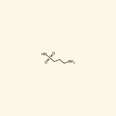 [NH]S(=O)(=O)CCCN